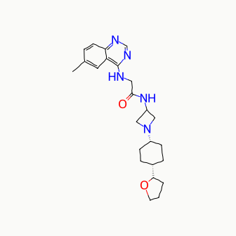 Cc1ccc2ncnc(NCC(=O)NC3CN([C@H]4CC[C@@H](C5CCCO5)CC4)C3)c2c1